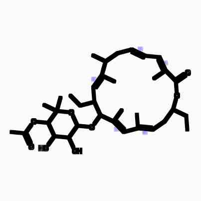 CCC1C/C=C(C)/C=C(\C)C(OC2OC(C)(C)C(OC(C)=O)C(O)C2O)C(CC)/C=C(\C)C(C)C/C=C/C=C(\C)C(=O)O1